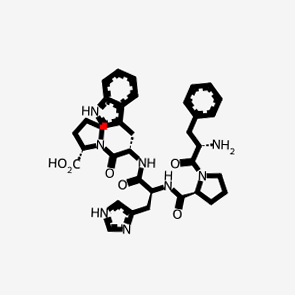 N[C@@H](Cc1ccccc1)C(=O)N1CCC[C@H]1C(=O)N[C@@H](Cc1c[nH]cn1)C(=O)N[C@@H](Cc1c[nH]c2ccccc12)C(=O)N1CCC[C@H]1C(=O)O